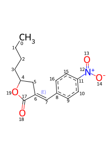 CCCCC1C/C(=C\c2ccc([N+](=O)[O-])cc2)C(=O)O1